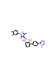 CC1=NN(c2ccc(C)c(C)c2)C(=O)C1=NNc1cccc(-c2ccc(-c3nnn[nH]3)cc2)c1O